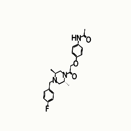 CC(=O)Nc1ccc(OCC(=O)N2C[C@H](C)N(Cc3ccc(F)cc3)C[C@H]2C)cc1